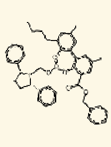 CCCCc1cc(C)cc2c1op(OCP1[C@H](c3ccccc3)CC[C@H]1c1ccccc1)oc1c(C(=O)OCc3ccccc3)cc(C)cc12